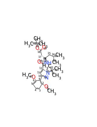 COc1cccc(OC)c1-c1cc(C(=O)N[C@H](CC(=O)OC(C)(C)C)CC(C)C)n(C(C)(C)C)n1